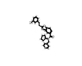 O=C(c1ccc2oc(CCc3cccc(Cl)c3)nc2c1)N(Cc1ccncc1)C1CCCC1